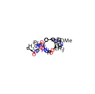 CCn1c(-c2cccnc2[C@H](C)OC)c2c3cc(ccc31)-c1cccc(c1)C[C@H](NC(=O)[C@H](C(C)C)N(C)C(=O)[C@H]1CCN(C(=O)C#CC3CCC3)C1)C(=O)N1CCC[C@H](N1)C(=O)OCC(C)(C)C2